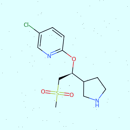 CS(=O)(=O)C[C@@H](Oc1ccc(Cl)cn1)C1CCNC1